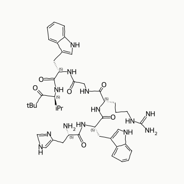 CC(C)[C@H](NC(=O)[C@H](Cc1c[nH]c2ccccc12)NC(=O)CNC(=O)[C@H](CCCNC(=N)N)NC(=O)[C@H](Cc1c[nH]c2ccccc12)NC(=O)[C@@H](N)Cc1c[nH]cn1)C(=O)C(C)(C)C